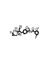 COc1ccc(F)cc1C(=O)NC1COc2cc(-c3nn(CC4CC4(F)F)c(N)c3C#N)ccc21